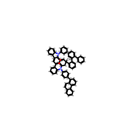 CC1(c2ccccc2-c2ccccc2-c2ccccc2)C=CC=C(N(c2ccc(-c3cccc4c3ccc3ccccc34)cc2)c2ccccc2-c2ccc3c(c2)c2ccccc2n3-c2ccccc2)C1